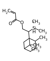 C=CC(=O)OCC([SiH](C)C)C12CC(CCC1C)C2(C)C